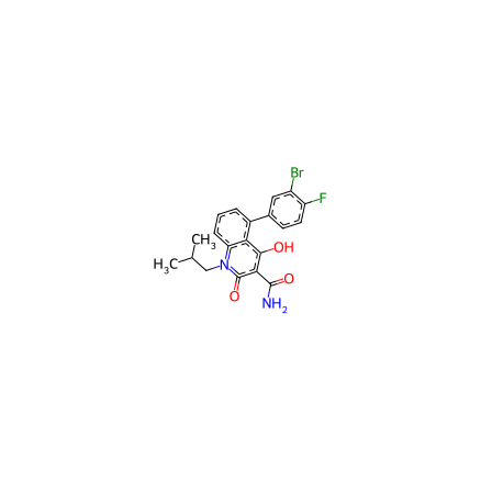 CC(C)Cn1c(=O)c(C(N)=O)c(O)c2c(-c3ccc(F)c(Br)c3)cccc21